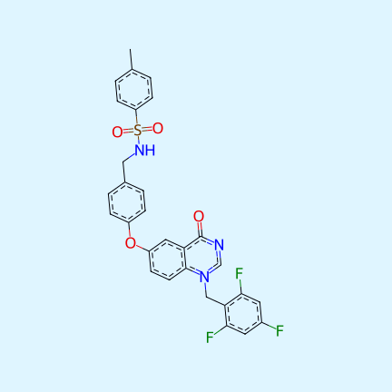 Cc1ccc(S(=O)(=O)NCc2ccc(Oc3ccc4c(c3)c(=O)ncn4Cc3c(F)cc(F)cc3F)cc2)cc1